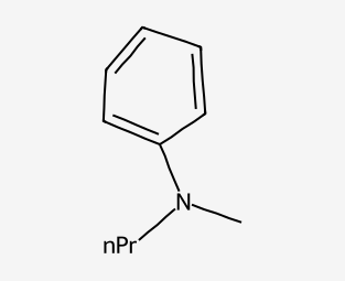 [CH2]CCN(C)c1ccccc1